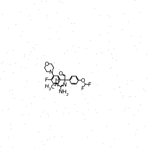 CN/C(N)=N\C(C=O)(c1ccc(OC(F)F)cc1)c1ccc(F)c(N2CCOCC2)c1